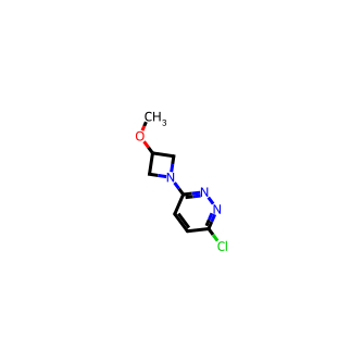 COC1CN(c2ccc(Cl)nn2)C1